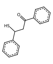 O=C(CC(S)c1ccccc1)c1ccccc1